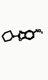 O=[N+]([O-])c1ccc2oc(N3CCCCC3)nc2c1